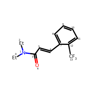 CCN(CC)C(=O)C=Cc1ccccc1C(F)(F)F